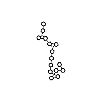 c1ccc(-c2ccc(-n3c4ccccc4c4cc(-c5ccc6c(c5)c5ccccc5n6-c5ccc(-c6ccc(-c7ccc(-c8cccc(C9(c%10cccc(-c%11ccccc%11-c%11ccccc%11)c%10)c%10ccccc%10-c%10ccccc%109)c8)cc7)cc6)cc5)ccc43)cc2)cc1